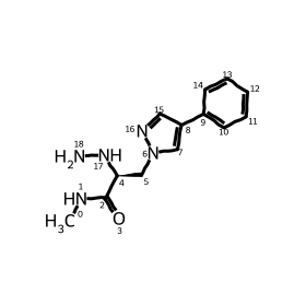 CNC(=O)[C@H](Cn1cc(-c2ccccc2)cn1)NN